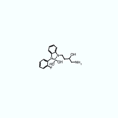 NCC(O)CCN1c2ccccc2N(c2ccccc2F)S1(O)O